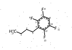 CCCCc1c(F)c(F)[c]c(F)c1F